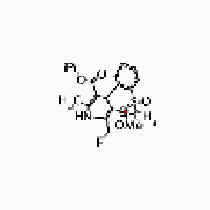 COC(=O)C1=C(CF)NC(C)=C(C(=O)OC(C)C)C1c1ccccc1S(C)(=O)=O